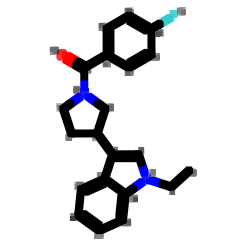 CCn1cc(C2CCN(C(=O)c3ccc(F)cc3)C2)c2ccccc21